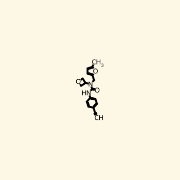 C#Cc1ccc(NC(=O)N(Cc2ccc(C)o2)C2COC2)cc1